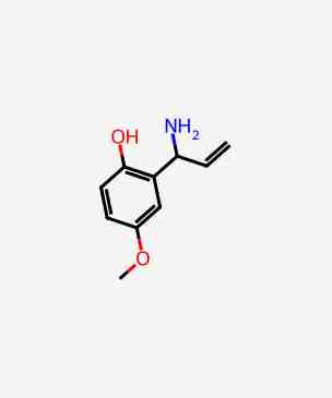 C=CC(N)c1cc(OC)ccc1O